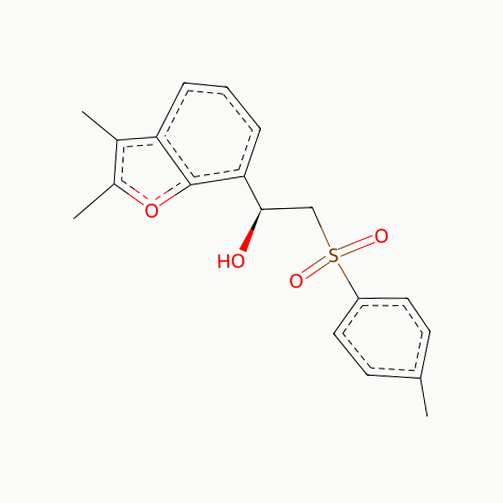 Cc1ccc(S(=O)(=O)C[C@@H](O)c2cccc3c(C)c(C)oc23)cc1